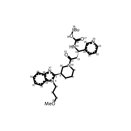 COCCCn1c([C@@H]2CCCN(C(=O)C[C@H](NC(=O)OC(C)(C)C)c3cccnc3)C2)nc2ccccc21